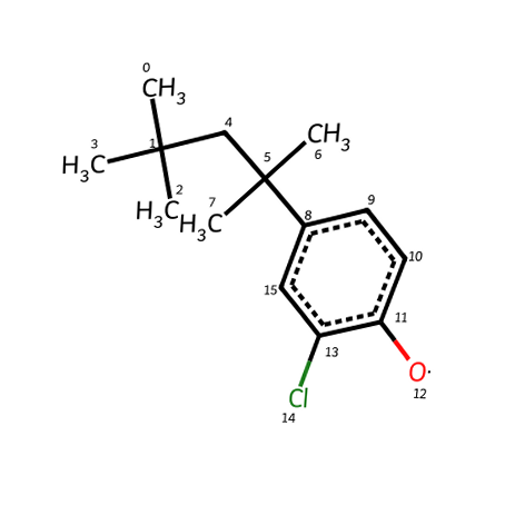 CC(C)(C)CC(C)(C)c1ccc([O])c(Cl)c1